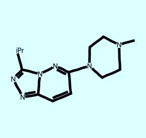 CC(C)c1nnc2ccc(N3CCN(C)CC3)nn12